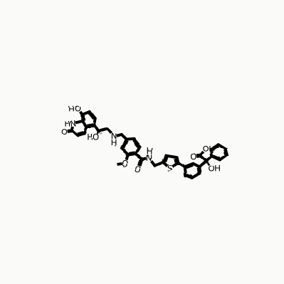 COc1cc(CNC[C@H](O)c2ccc(O)c3[nH]c(=O)ccc23)ccc1C(=O)NCc1ccc(-c2cccc([C@](O)(C(=O)O)c3ccccc3)c2)s1